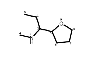 CCC(NC)C1CCCO1